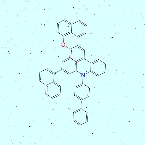 c1ccc(-c2ccc(N(c3cccc(-c4cccc5ccccc45)c3)c3ccccc3-c3ccc4c(c3)-c3cccc5cccc(c35)O4)cc2)cc1